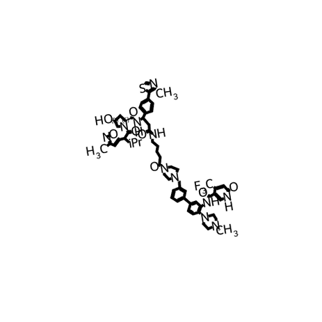 Cc1cc(C(C(=O)N2C[C@H](O)C[C@H]2C(=O)NC(CC(=O)NCCCCC(=O)N2CCN(Cc3cccc(-c4ccc(N5CCN(C)CC5)c(NC(=O)c5c[nH]c(=O)cc5C(F)(F)F)c4)c3)CC2)c2ccc(-c3scnc3C)cc2)C(C)C)on1